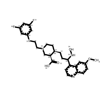 COc1ccc2nccc(C(CC[C@@H]3CCN(CCSc4cc(F)cc(F)c4)C[C@@H]3C(=O)O)NO)c2c1